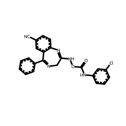 N#Cc1ccc2c(c1)C(c1ccccc1)=NCC(NOC(=O)Nc1cccc(Cl)c1)=N2